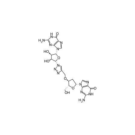 Nc1nc2c(ncn2[C@@H]2O[C@H](n3cc(CO[C@H]4C[C@H](n5cnc6c(=O)[nH]c(N)nc65)O[C@@H]4CO)nn3)[C@@H](O)[C@H]2O)c(=O)[nH]1